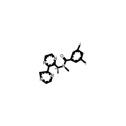 C[C@@H](c1nccnc1-c1cnccn1)N(C)C(=O)c1cc(I)cc(I)c1